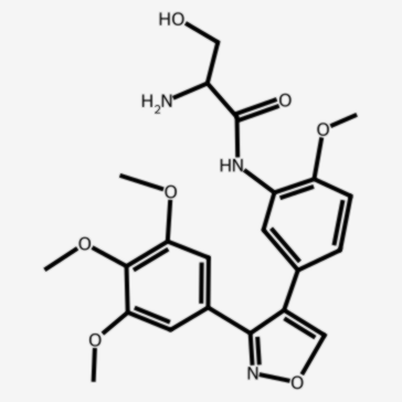 COc1ccc(-c2conc2-c2cc(OC)c(OC)c(OC)c2)cc1NC(=O)C(N)CO